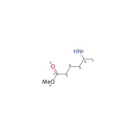 COC(=O)CCCC(C)[NH]